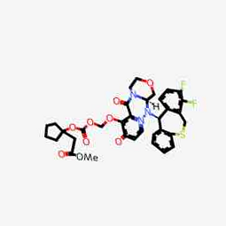 COC(=O)CC1(OC(=O)OCOc2c3n(ccc2=O)N([C@@H]2c4ccccc4SCc4c2ccc(F)c4F)[C@@H]2COCCN2C3=O)CCCC1